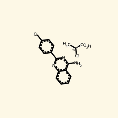 C[C@H](Cl)C(=O)O.Nc1nc(-c2ccc(Cl)cc2)nc2ccccc12